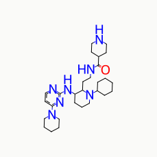 O=C(NCCC1C(Nc2nccc(N3CCCCC3)n2)CCCN1C1CCCCC1)C1CCNCC1